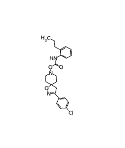 CCCc1ccccc1NC(=O)ON1CCC2(CC1)CC(c1ccc(Cl)cc1)=NO2